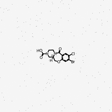 O=C(O)N1CCN2C(=O)c3cc(Cl)c(Br)cc3OC[C@@H]2C1